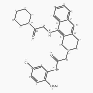 COc1ccc(Cl)cc1NC(=O)CN1CCc2nc3ccccc3c(NCC(=O)N3CCCCC3)c2C1